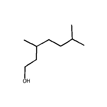 CC(C)CCC(C)CCO